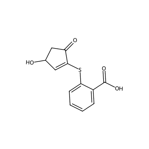 O=C1CC(O)C=C1Sc1ccccc1C(=O)O